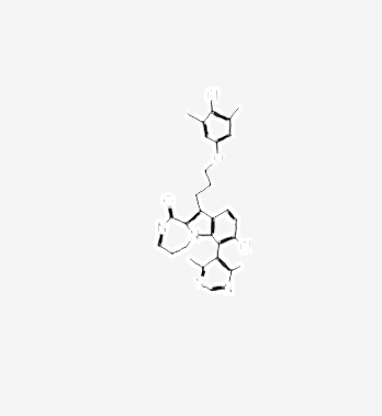 Cc1cc(OCCCc2c3n(c4c(-c5c(C)ncnc5C)c(Cl)ccc24)CCC=NC3=O)cc(C)c1Cl